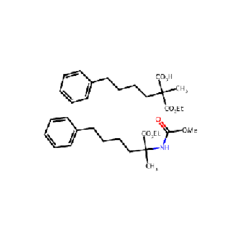 CCOC(=O)C(C)(CCCCc1ccccc1)C(=O)O.CCOC(=O)C(C)(CCCCc1ccccc1)NC(=O)OC